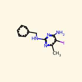 Cc1nc(NCc2ccccc2)nc(N)c1I